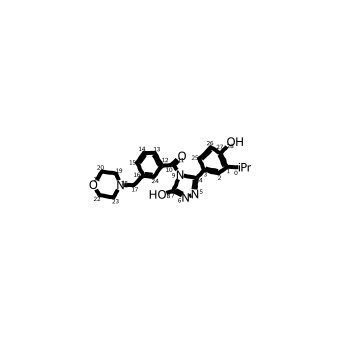 CC(C)c1cc(-c2nnc(O)n2C(=O)c2cccc(CN3CCOCC3)c2)ccc1O